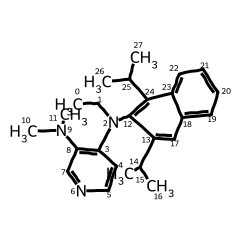 CCN(c1ccncc1N(C)C)c1c(C(C)C)cc2ccccc2c1C(C)C